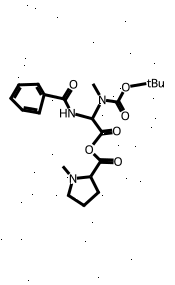 CN1CCCC1C(=O)OC(=O)C(NC(=O)c1ccccc1)N(C)C(=O)OC(C)(C)C